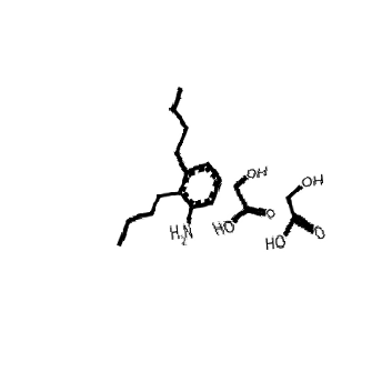 CCCCc1cccc(N)c1CCCC.O=C(O)CO.O=C(O)CO